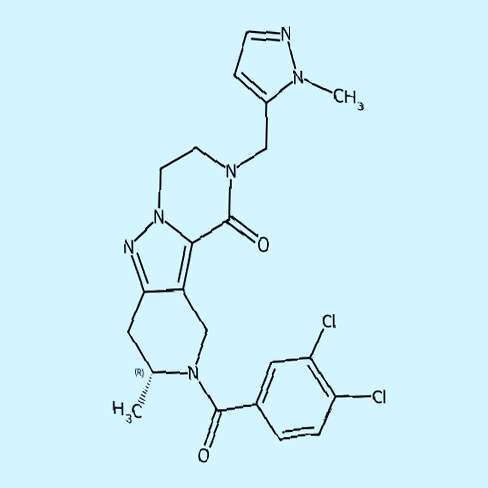 C[C@@H]1Cc2nn3c(c2CN1C(=O)c1ccc(Cl)c(Cl)c1)C(=O)N(Cc1ccnn1C)CC3